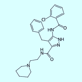 O=C(Nc1[nH]nc(C(=O)NCCN2CCCCC2)c1Cc1ccccc1)c1ccccc1Cl